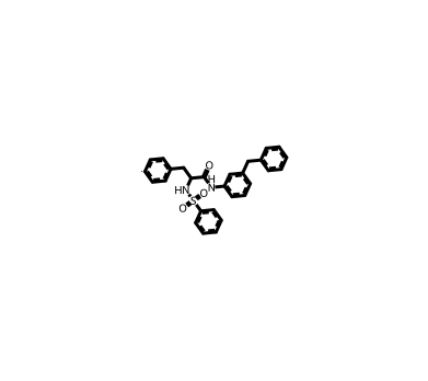 O=C(Nc1cccc(Cc2ccccc2)c1)C(Cc1cc[c]cc1)NS(=O)(=O)c1ccccc1